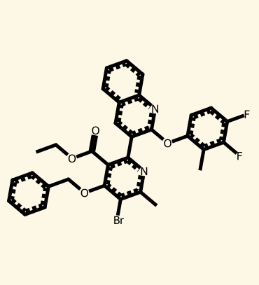 CCOC(=O)c1c(-c2cc3ccccc3nc2Oc2ccc(F)c(F)c2C)nc(C)c(Br)c1OCc1ccccc1